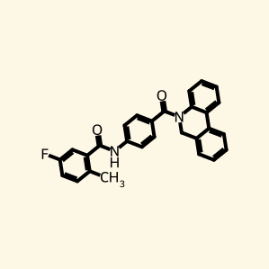 Cc1ccc(F)cc1C(=O)Nc1ccc(C(=O)N2Cc3ccccc3-c3ccccc32)cc1